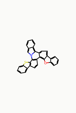 c1ccc2c(c1)cn1c2c2ccc3c4ccccc4oc3c2c2ccc3c4ccccc4sc3c21